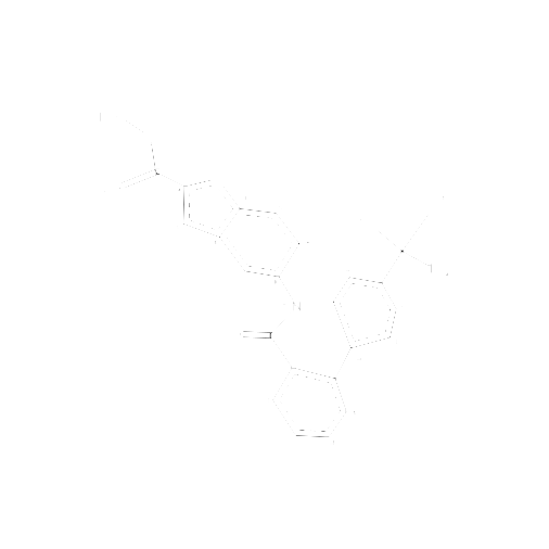 COC(=O)c1cc2cc(NC(=O)c3ccccc3-c3ccc(C(F)(F)F)cc3)ccc2o1